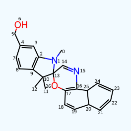 CN1c2cc(CO)ccc2C(C)(C)C12C=NC1=C(C=CC3C=CC=CC13)O2